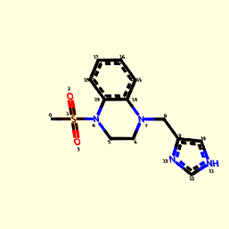 CS(=O)(=O)N1CCN(Cc2c[nH]cn2)c2ccccc21